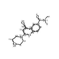 CN(C)C(=O)c1ccc2oc(N3CCOCC3)cc(=O)c2c1